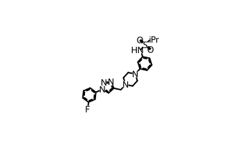 CC(C)S(=O)(=O)Nc1cccc(N2CCN(Cc3cn(-c4cccc(F)c4)nn3)CC2)c1